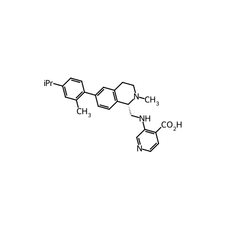 Cc1cc(C(C)C)ccc1-c1ccc2c(c1)CCN(C)[C@@H]2CNc1cnccc1C(=O)O